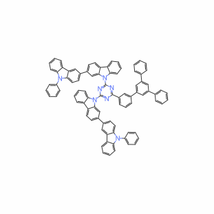 c1ccc(-c2cc(-c3ccccc3)cc(-c3cccc(-c4nc(-n5c6ccccc6c6ccc(-c7ccc8c(c7)c7ccccc7n8-c7ccccc7)cc65)nc(-n5c6ccccc6c6ccc(-c7ccc8c(c7)c7ccccc7n8-c7ccccc7)cc65)n4)c3)c2)cc1